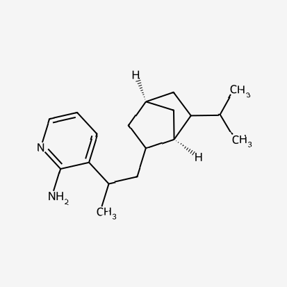 CC(CC1C[C@H]2CC(C(C)C)[C@@H]1C2)c1cccnc1N